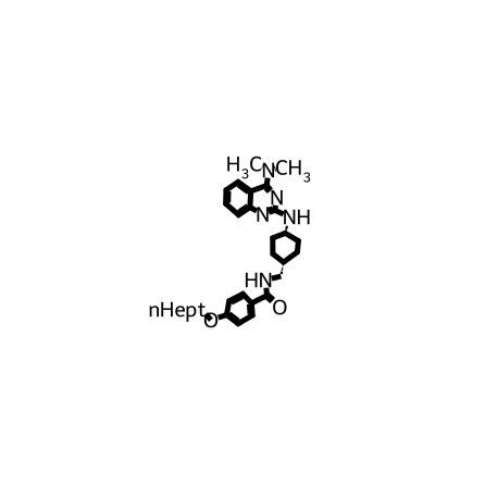 CCCCCCCOc1ccc(C(=O)NC[C@H]2CC[C@@H](Nc3nc(N(C)C)c4ccccc4n3)CC2)cc1